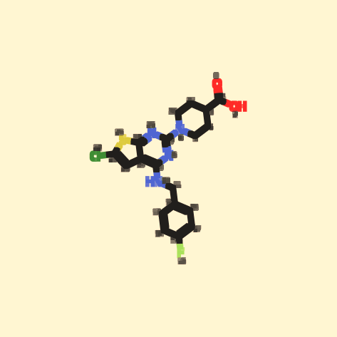 O=C(O)C1CCN(c2nc(NCc3ccc(F)cc3)c3cc(Cl)sc3n2)CC1